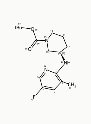 Cc1cc(F)cnc1N[C@@H]1CCCN(C(=O)OC(C)(C)C)C1